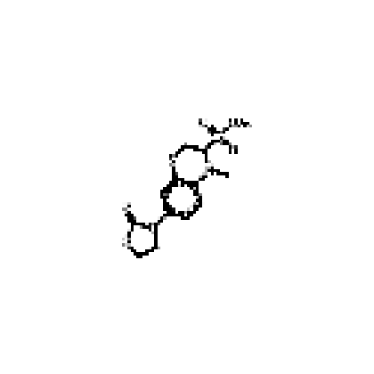 CC(=O)OS(=O)(=O)C1CSc2cc(N3CCOC3=O)ccc2N1C